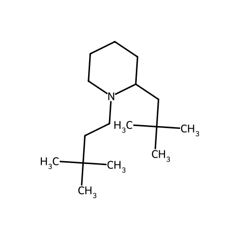 CC(C)(C)CCN1CCCCC1CC(C)(C)C